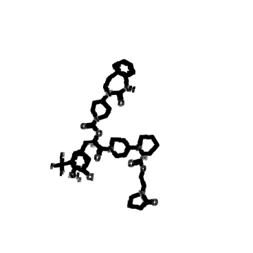 Nc1c(Cl)cc(C[C@@H](OC(=O)N2CCC(N3CCc4ccccc4NC3=O)CC2)C(=O)N2CCC(N3CCCC[C@@H]3C(=O)OCCN3CCCC3=O)CC2)cc1C(F)(F)F